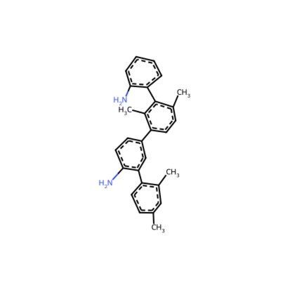 Cc1ccc(-c2cc(-c3ccc(C)c(-c4ccccc4N)c3C)ccc2N)c(C)c1